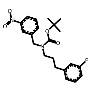 CC(C)(C)OC(=O)N(CCCc1cccc(F)c1)Cc1cccc([N+](=O)[O-])c1